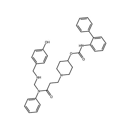 O=C(Nc1ccccc1-c1ccccc1)OC1CCN(CCC(=O)N(CNCc2ccc(O)cc2)c2ccccc2)CC1